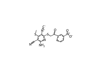 [C-]#[N+]c1c(SCC(=O)c2cccc([N+](=O)[O-])c2)nc(N)c(C#N)c1SC